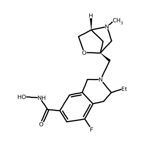 CCC1Cc2c(F)cc(C(=O)NO)cc2CN1C[C@]12C[C@H](CO1)N(C)C2